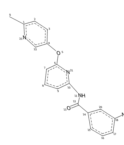 Cc1ccc(Oc2cccc(NC(=O)c3cccc(N)c3)n2)cn1